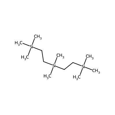 C[Si](C)(C)CC[Si](C)(C)CC[Si](C)(C)C